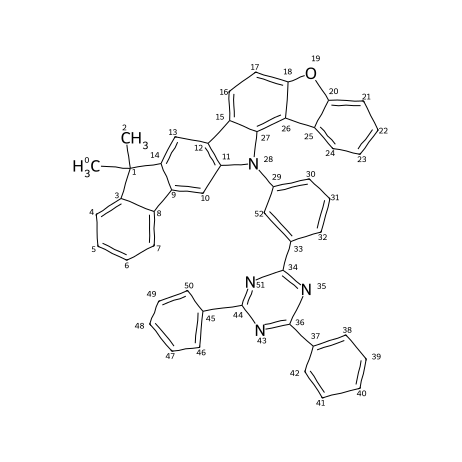 CC1(C)c2ccccc2-c2cc3c(cc21)c1ccc2oc4ccccc4c2c1n3-c1cccc(-c2nc(-c3ccccc3)nc(-c3ccccc3)n2)c1